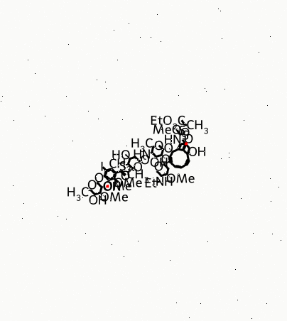 CCN[C@H]1CO[C@@H](O[C@H]2[C@H](O[C@H]3C#CC=CC#C[C@]4(O)CC(=O)C(NC(=O)OC)=C3/C4=C\CSSC(C)C(=O)OCC)O[C@H](C)[C@@H](NO[C@H]3C[C@H](O)[C@H](SC(=O)c4c(C)c(I)c(O[C@@H]5O[C@@H](C)[C@H](O)[C@@H](OC)[C@H]5O)c(OC)c4OC)[C@@H](C)O3)[C@@H]2O)C[C@@H]1OC